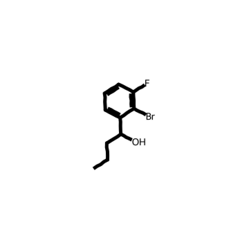 CCCC(O)c1cccc(F)c1Br